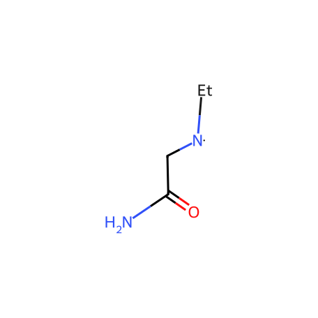 CC[N]CC(N)=O